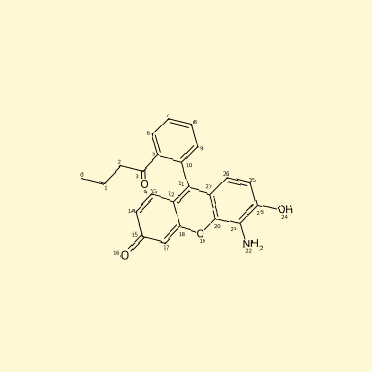 CCCC(=O)c1ccccc1-c1c2ccc(=O)cc-2oc2c(N)c(O)ccc12